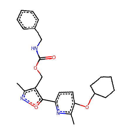 Cc1nc(-c2onc(C)c2COC(=O)NCc2ccccc2)ccc1OC1CCCCC1